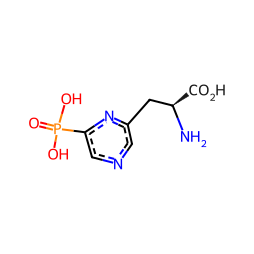 N[C@@H](Cc1cncc(P(=O)(O)O)n1)C(=O)O